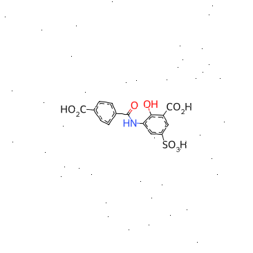 O=C(O)c1ccc(C(=O)Nc2cc(S(=O)(=O)O)cc(C(=O)O)c2O)cc1